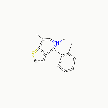 Cc1ccccc1-c1c2ccsc2c(C)c[n+]1C